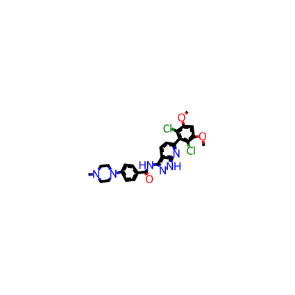 COc1cc(OC)c(Cl)c(-c2ccc3c(NC(=O)c4ccc(N5CCN(C)CC5)cc4)n[nH]c3n2)c1Cl